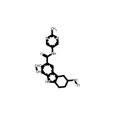 CCNC1CCc2[nH]c3ccc(C(=O)Nc4cnc(C)nc4)cc3c2C1.O=CO